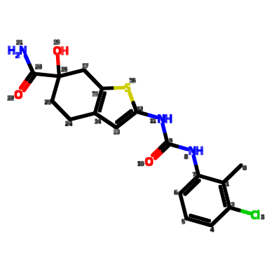 Cc1c(Cl)cccc1NC(=O)Nc1cc2c(s1)CC(O)(C(N)=O)CC2